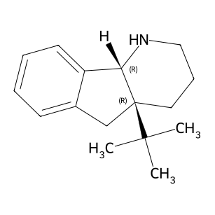 CC(C)(C)[C@]12CCCN[C@H]1c1ccccc1C2